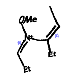 C/C=C(CC)\[N+](=C/CC)OC